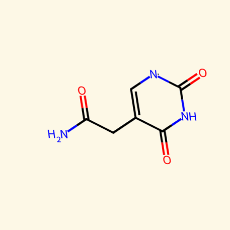 NC(=O)CC1=C[N]C(=O)NC1=O